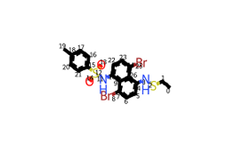 CCSNc1ccc(Br)c2c(NS(=O)(=O)c3ccc(C)cc3)ccc(Br)c12